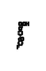 O=C(O)COc1ccc(-c2cc3cc(F)ccc3o2)cc1